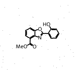 COC(=O)c1cccc2oc(-c3ccccc3O)nc12